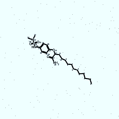 CCCCCCCCCCCCC(Oc1ccc(NS(=O)(=O)N(C)C)cc1)C(N)=O